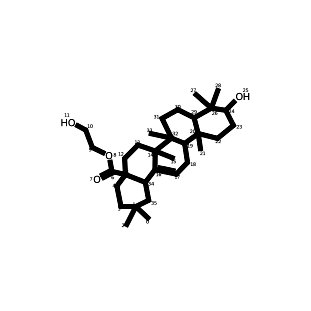 CC1(C)CCC2(C(=O)OCCO)CCC3(C)C(=CCC4C5(C)CCC(O)C(C)(C)C5CCC43C)C2C1